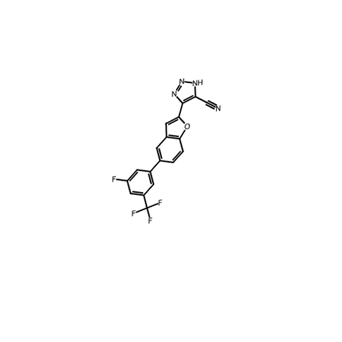 N#Cc1[nH]nnc1-c1cc2cc(-c3cc(F)cc(C(F)(F)F)c3)ccc2o1